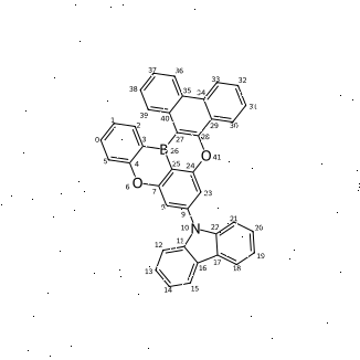 c1ccc2c(c1)Oc1cc(-n3c4ccccc4c4ccccc43)cc3c1B2c1c(c2ccccc2c2ccccc12)O3